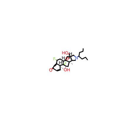 CCCC(CCC)N1C[C@@H]2C[C@H]3[C@@H]4C[C@H](F)C5=CC(=O)C=C[C@]5(C)[C@@]4(F)[C@@H](O)C[C@]3(C)[C@]2(C(=O)CO)C1